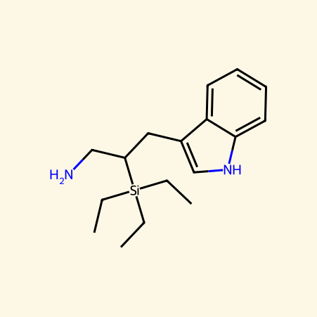 CC[Si](CC)(CC)C(CN)Cc1c[nH]c2ccccc12